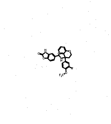 O=C(NC1(c2ccc(OC(F)(F)F)c(F)c2)CCOc2cccnc21)c1ccc2oc(=O)[nH]c2c1